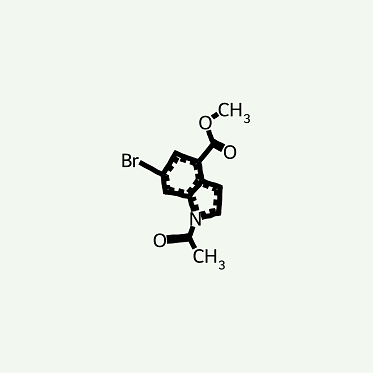 COC(=O)c1cc(Br)cc2c1ccn2C(C)=O